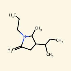 C=C1CC(C(C)CC)C(C)N1CCC